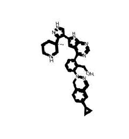 C[C@@]1(c2n[nH]cc2-c2cc3c(-c4cccc(N5Cc6ccc(C7CC7)cc6C=N5)c4CO)ncnc3[nH]2)CCCNC1